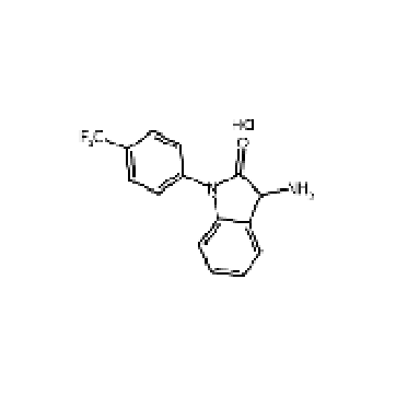 Cl.NC1C(=O)N(c2ccc(C(F)(F)F)cc2)c2ccccc21